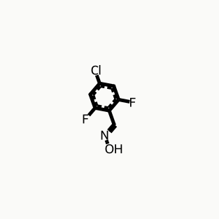 O/N=C/c1c(F)cc(Cl)cc1F